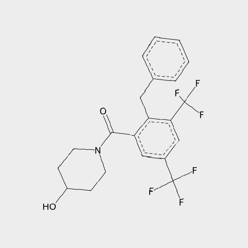 O=C(c1cc(C(F)(F)F)cc(C(F)(F)F)c1Cc1ccccc1)N1CCC(O)CC1